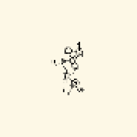 CCCCc1nc(Cl)c(C(=O)N[C@H](C)C(=O)O)n1Cc1ccc2oc(-c3ccccc3-c3nnn[nH]3)c(Br)c2c1